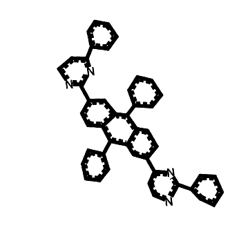 c1ccc(-c2ccnc(-c3ccc4c(-c5ccccc5)c5cc(-c6ccnc(-c7ccccc7)n6)ccc5c(-c5ccccc5)c4c3)n2)cc1